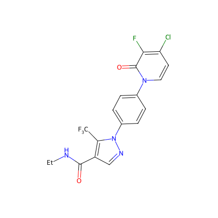 CCNC(=O)c1cnn(-c2ccc(-n3ccc(Cl)c(F)c3=O)cc2)c1C(F)(F)F